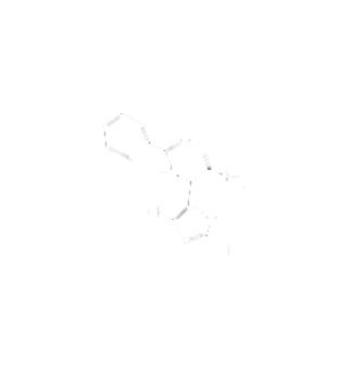 NC(=S)C(NC(=O)c1ccccc1)c1oc(Cl)cc1Cl